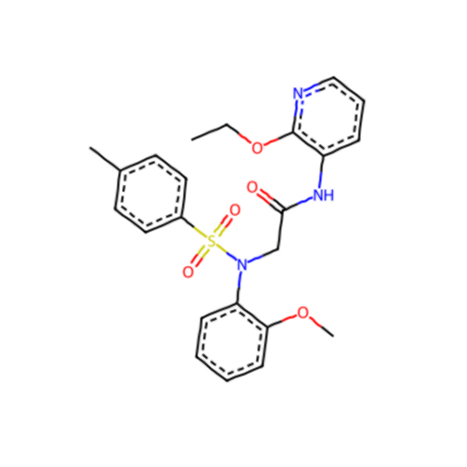 CCOc1ncccc1NC(=O)CN(c1ccccc1OC)S(=O)(=O)c1ccc(C)cc1